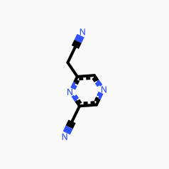 N#CCc1cncc(C#N)n1